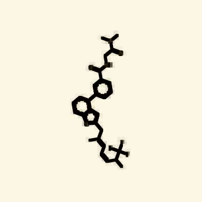 C/C(=C\C=C/C(C)C(F)(F)F)Cc1cc2c(-c3cccc(C(=O)NCC(=O)N(C)C)c3)cccc2o1